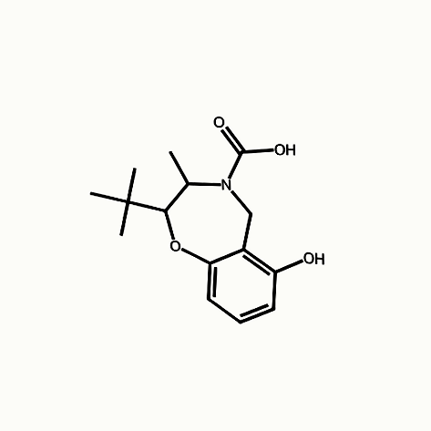 CC1C(C(C)(C)C)Oc2cccc(O)c2CN1C(=O)O